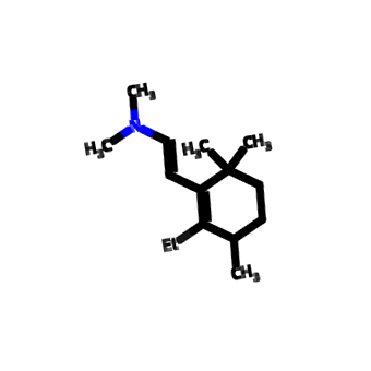 CCC1=C(C=CN(C)C)C(C)(C)CCC1C